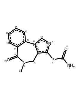 CN1Cc2c(SC(N)=O)ncn2-c2ccccc2C1=O